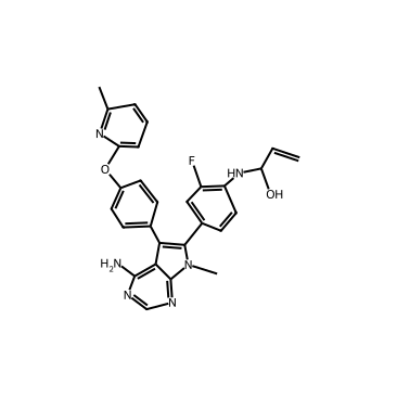 C=CC(O)Nc1ccc(-c2c(-c3ccc(Oc4cccc(C)n4)cc3)c3c(N)ncnc3n2C)cc1F